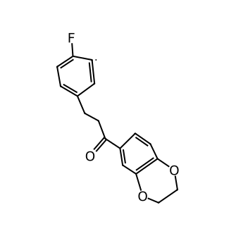 O=C(CCc1c[c]c(F)cc1)c1ccc2c(c1)OCCO2